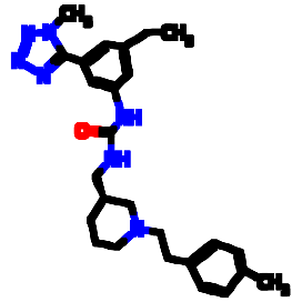 CCc1cc(NC(=O)NC[C@@H]2CCCN(CCc3ccc(C)cc3)C2)cc(-c2nnnn2C)c1